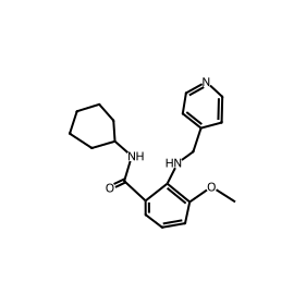 COc1cccc(C(=O)NC2CCCCC2)c1NCc1ccncc1